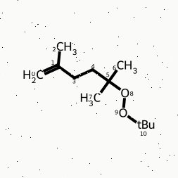 C=C(C)[CH]CC(C)(C)OOC(C)(C)C